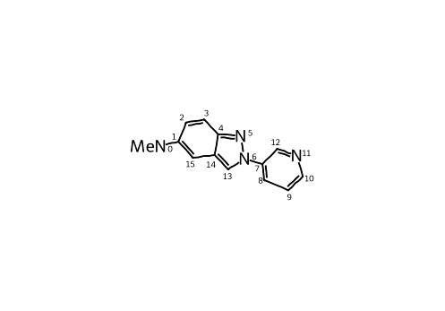 CNc1ccc2nn(-c3cccnc3)cc2c1